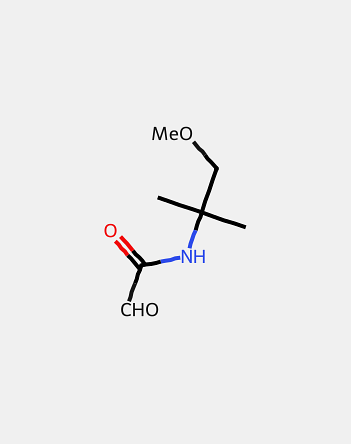 COCC(C)(C)NC(=O)C=O